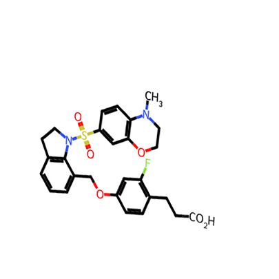 CN1CCOc2cc(S(=O)(=O)N3CCc4cccc(COc5ccc(CCC(=O)O)c(F)c5)c43)ccc21